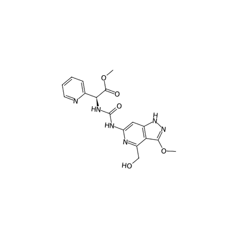 COC(=O)[C@@H](NC(=O)Nc1cc2[nH]nc(OC)c2c(CO)n1)c1ccccn1